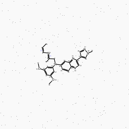 C/C=C\N=C(/C)CN(c1cc(OC)cc(OC)c1)c1ccc2ncc(-c3cnn(C)c3)nc2c1